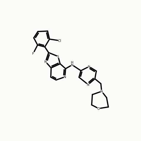 Fc1cccc(Cl)c1-c1nc2ccnc(Nc3cnc(CN4CCOCC4)cn3)c2s1